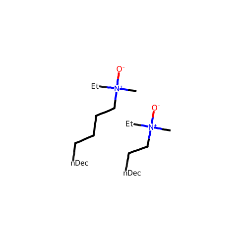 CCCCCCCCCCCCCC[N+](C)([O-])CC.CCCCCCCCCCCC[N+](C)([O-])CC